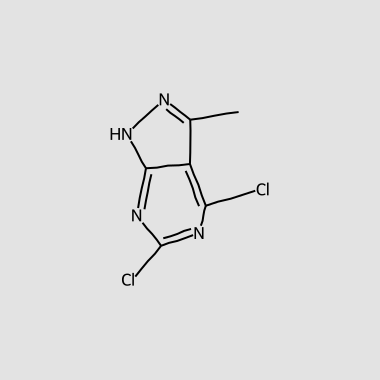 Cc1n[nH]c2nc(Cl)nc(Cl)c12